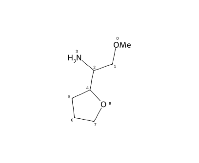 COCC(N)C1CCCO1